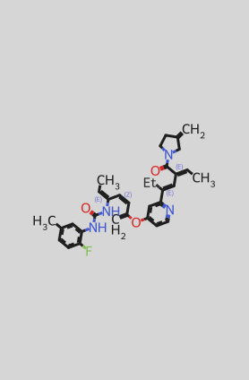 C=C1CCN(C(=O)C(=C/C)/C=C(\CC)c2cc(OC(=C)/C=C\C(=C/C)NC(=O)Nc3cc(C)ccc3F)ccn2)C1